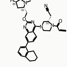 C=CC(=O)N1CCN(c2nc(OC[C@@H]3C[C@@H](F)CN3C)nc3cc(-c4cccc5c4CCCC5)ccc23)C[C@@H]1CC#N